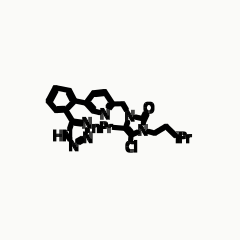 CCCc1c(Cl)n(CCC(C)C)c(=O)n1Cc1ccc(-c2ccccc2-c2nnn[nH]2)cn1